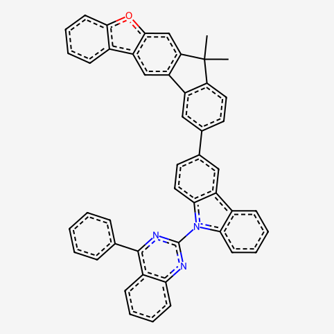 CC1(C)c2ccc(-c3ccc4c(c3)c3ccccc3n4-c3nc(-c4ccccc4)c4ccccc4n3)cc2-c2cc3c(cc21)oc1ccccc13